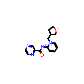 O=C(/N=c1\ccccn1CC1CCOC1)c1cnccn1